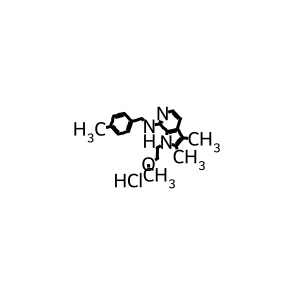 COCCn1c(C)c(C)c2ccnc(NCc3ccc(C)cc3)c21.Cl